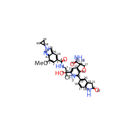 COc1cc(C(=O)NCC(O)(c2cc3c(c(-c4ccc5c(c4)CC(=O)N5)n2)OC[C@]3(C)C(N)=O)C(F)(F)F)cc2cn(C3CC3)nc12